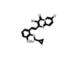 COc1cccc(/C=C/c2nc3ccc(Cl)cn3c(=O)c2Br)c1OCC1CC1